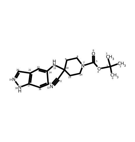 CC(C)(C)OC(=O)N1CCC(C#N)(Nc2ccc3[nH]ncc3c2)CC1